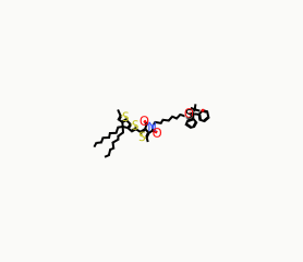 CCCCCCCCC1(CCCCCCCC)c2cc(C)sc2-c2sc(-c3sc(C)c4c3C(=O)N(CCCCCCCCO[Si](c3ccccc3)(c3ccccc3)C(C)(C)C)C4=O)cc21